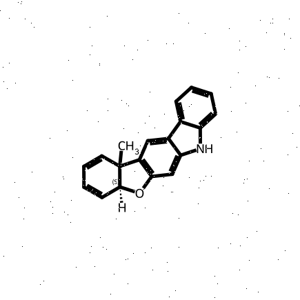 CC12C=CC=C[C@@H]1Oc1cc3[nH]c4ccccc4c3cc12